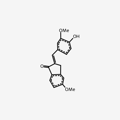 COc1ccc2c(c1)C/C(=C\c1ccc(O)c(OC)c1)C2=O